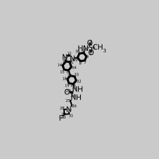 CS(=O)(=O)Nc1cccc(-n2cnc3ccc(-c4ccc(NC(=O)NCCN5CC(F)C5)cc4)cc32)c1